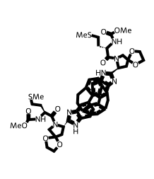 COC(=O)N[C@@H](CCSC)C(=O)N1CC2(C[C@H]1c1nc3cc(-c4cc5ccc4CCc4ccc(c(-c6ccc7[nH]c([C@@H]8CC9(CN8C(=O)[C@H](CCSC)NC(=O)OC)OCCO9)nc7c6)c4)CC5)ccc3[nH]1)OCCO2